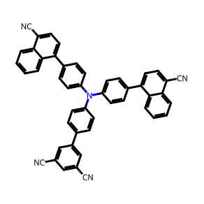 N#Cc1cc(C#N)cc(-c2ccc(N(c3ccc(-c4ccc(C#N)c5ccccc45)cc3)c3ccc(-c4ccc(C#N)c5ccccc45)cc3)cc2)c1